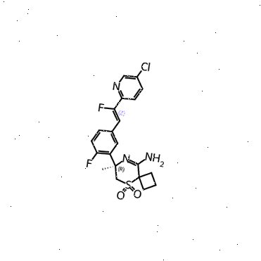 C[C@@]1(c2cc(/C=C(\F)c3ccc(Cl)cn3)ccc2F)CS(=O)(=O)C2(CCC2)C(N)=N1